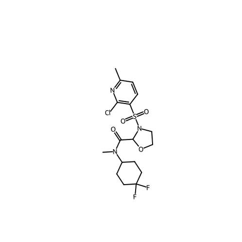 Cc1ccc(S(=O)(=O)N2CCOC2C(=O)N(C)C2CCC(F)(F)CC2)c(Cl)n1